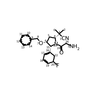 CC(C)(C#N)[C@H]1C[C@@H](OCc2ccccc2)[C@@H](C2=CC=CC(F)C2)N1C(=O)CN